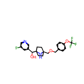 O[C@@H](c1cncc(F)c1)C12CCC(COCc3ccc(OC(F)(F)F)cc3)(CC1)N2